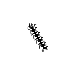 O=C([O-])C(F)(F)C(F)(F)C(F)(F)C(F)(F)C(F)(F)C(F)(F)C(F)(F)C(F)F.[Li+]